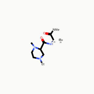 CC[C@H](C)[C@H](NC(=O)C1CN(CC)CCN1C)C(=O)NC